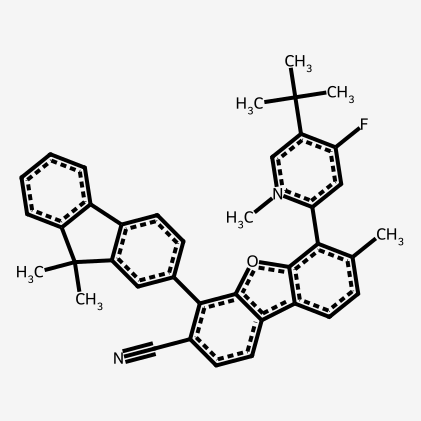 Cc1ccc2c(oc3c(-c4ccc5c(c4)C(C)(C)c4ccccc4-5)c(C#N)ccc32)c1-c1cc(F)c(C(C)(C)C)c[n+]1C